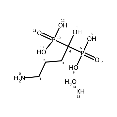 NCCCC(O)(P(=O)(O)O)P(=O)(O)O.O.[KH]